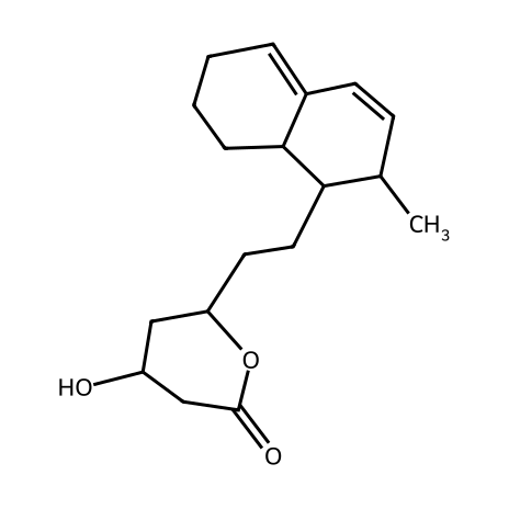 CC1C=CC2=CCCCC2C1CCC1CC(O)CC(=O)O1